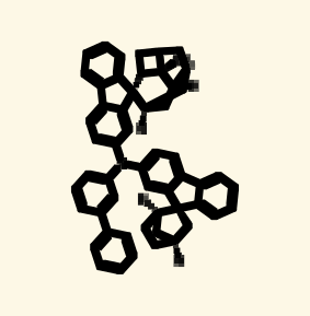 C[C@@]12C3CC4C[C@@H](C[C@H]41)[C@@]1(c4ccccc4-c4ccc(N(c5cccc(-c6ccccc6)c5)c5ccc6c(c5)[C@]5(C[C@H]7CC[C@@H]5C7)c5ccccc5-6)cc41)C2C3